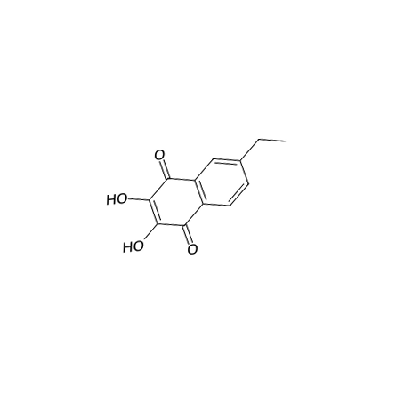 CCc1ccc2c(c1)C(=O)C(O)=C(O)C2=O